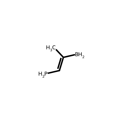 B/C(C)=C/P